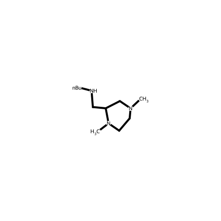 CCCCNCC1CN(C)CCN1C